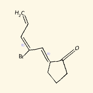 C=C/C=C(Br)\C=C1/CCCC1=O